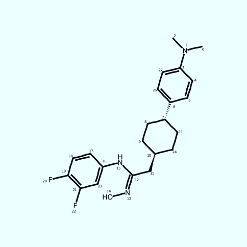 CN(C)c1ccc([C@H]2CC[C@H](C/C(=N/O)Nc3ccc(F)c(F)c3)CC2)cc1